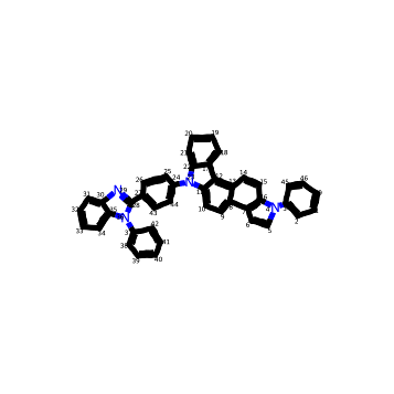 c1ccc(-n2ccc3c4ccc5c(c4ccc32)c2ccccc2n5-c2ccc(-c3nc4ccccc4n3-c3ccccc3)cc2)cc1